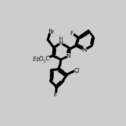 CCOC(=O)C1=C(CBr)NC(c2ncccc2F)=NC1c1ccc(F)cc1Cl